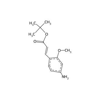 COc1cc(N)ccc1/C=C/C(=O)OC(C)(C)C